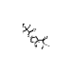 CN(C)C(=O)[C@@H]1C[C@@H](OC(=O)C(F)(F)F)CN1